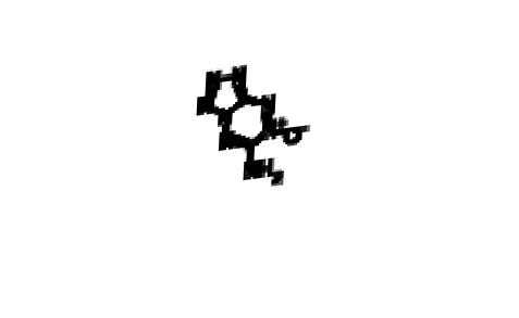 Nc1nn2nnnc2n[n+]1[O-]